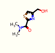 CN(C)C(=O)c1nc(CO)cs1